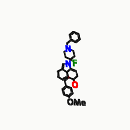 COc1ccc(CC2C(=O)CC=C3N(C4(F)CCN(Cc5ccccc5)CC4)C=C4C=CC=CC432)cc1